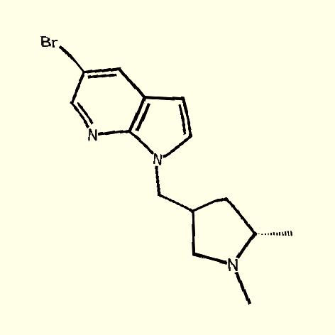 C[C@H]1CC(Cn2ccc3cc(Br)cnc32)CN1C